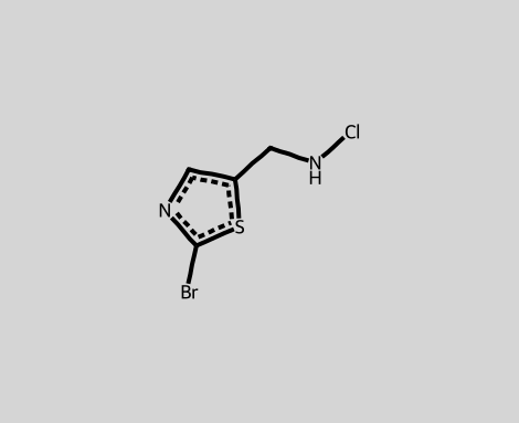 ClNCc1cnc(Br)s1